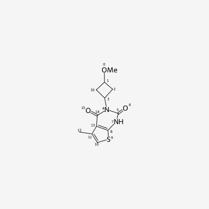 COC1CC(n2c(=O)[nH]c3scc(C)c3c2=O)C1